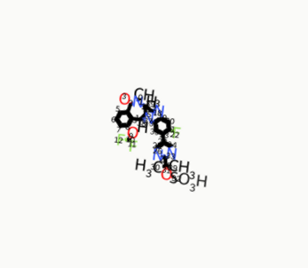 CN1C(=O)c2cccc(OC(F)F)c2[C@@H]2C[C@@H]1c1nc3cc(F)c(-c4cnc(C(C)(C)OS(=O)(=O)O)nc4)cc3n12